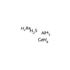 S.[AlH3].[BaH2].[GeH4]